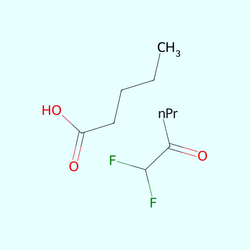 CCCC(=O)C(F)F.CCCCC(=O)O